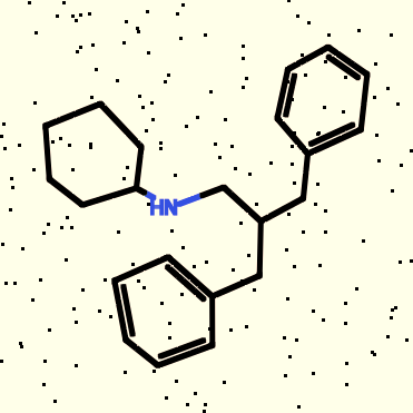 c1ccc(CC(CNC2CCCCC2)Cc2ccccc2)cc1